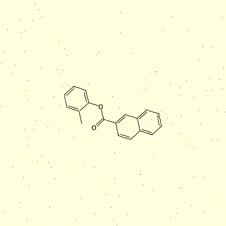 Cc1ccccc1OC(=O)c1ccc2ccccc2c1